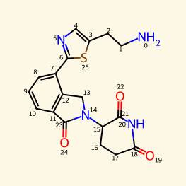 NCCc1cnc(-c2cccc3c2CN(C2CCC(=O)NC2=O)C3=O)s1